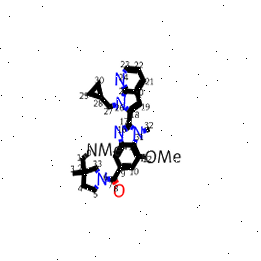 CNCC1(C)CCN(C(=O)c2cc(OC)c3c(c2)nc(-c2cc4cccnc4n2CC2CC2)n3C)C1